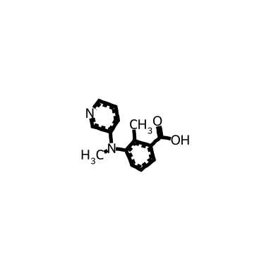 Cc1c(C(=O)O)cccc1N(C)c1cccnc1